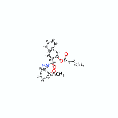 CCCC(=O)Oc1cc2ccccc2cc1C(=O)Nc1ccccc1OC